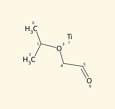 CC(C)OC[C]=O.[Ti]